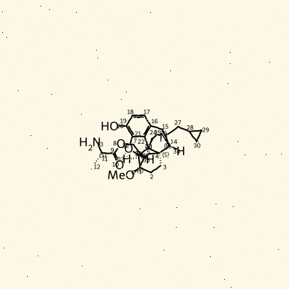 CO[C@]12CC[C@@]3(C[C@@H]1COC(=O)[C@H](C)N)[C@H]1Cc4ccc(O)c5c4[C@@]3(CCN1CC1CC1)[C@H]2O5